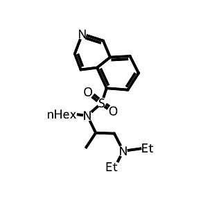 CCCCCCN(C(C)CN(CC)CC)S(=O)(=O)c1cccc2cnccc12